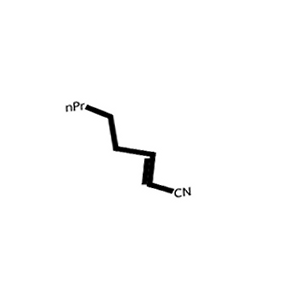 CCCCCC=CC#N